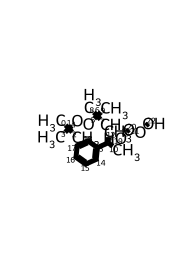 CC(C)(C)OOC(C)(C)C.CC(C)c1ccccc1.OOOO